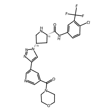 O=C(Nc1ccc(Cl)c(C(F)(F)F)c1)[C@@H]1C[C@H](n2cc(-c3cncc(C(=O)N4CCOCC4)c3)nn2)CN1